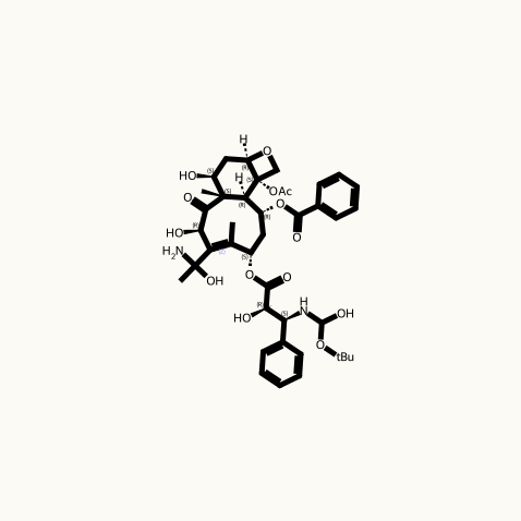 CC(=O)O[C@@]12CO[C@@H]1C[C@H](O)[C@@]1(C)C(=O)[C@H](O)/C(C(C)(N)O)=C(\C)[C@@H](OC(=O)[C@H](O)[C@@H](NC(O)OC(C)(C)C)c3ccccc3)C[C@@H](OC(=O)c3ccccc3)[C@H]21